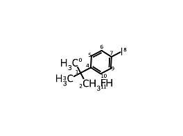 CC(C)(C)c1ccc(I)cc1.F